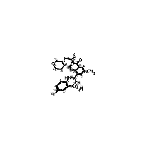 Cc1cc([C@@H](C)Nc2ccc(F)cc2C(=O)O)c2nc(C3CCOCC3)n(C(F)F)c(=O)c2c1